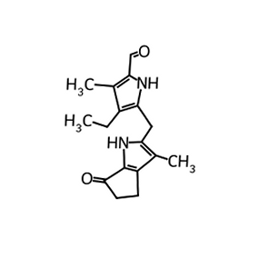 CCc1c(Cc2[nH]c3c(c2C)CCC3=O)[nH]c(C=O)c1C